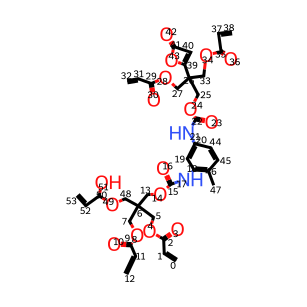 C=CC(=O)OCC(COC(=O)C=C)(COC(=O)Nc1cc(NC(=O)OCC(COC(=O)C=C)(COC(=O)C=C)C2=CC(=O)O2)ccc1C)COC(O)C=C